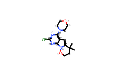 CC1(C)CCOn2c1cc1c(N3CCOCC3)nc(Cl)nc12